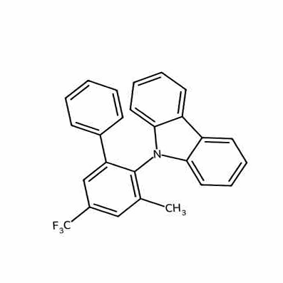 Cc1cc(C(F)(F)F)cc(-c2ccccc2)c1-n1c2ccccc2c2ccccc21